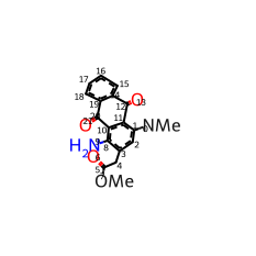 CNc1cc(CC(=O)OC)c(N)c2c1C(=O)c1ccccc1C2=O